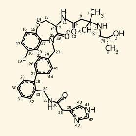 C[C@@H](O)CNC(C)(C)CC(=O)N[C@@H]1CSc2ccc(F)cc2N(Cc2ccc(-c3ccccc3CNC(=O)Cc3c[nH]cn3)cc2)C1=O